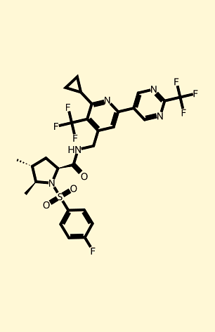 C[C@@H]1C[C@@H](C(=O)NCc2cc(-c3cnc(C(F)(F)F)nc3)nc(C3CC3)c2C(F)(F)F)N(S(=O)(=O)c2ccc(F)cc2)[C@H]1C